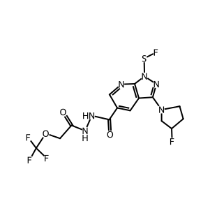 O=C(COC(F)(F)F)NNC(=O)c1cnc2c(c1)c(N1CCC(F)C1)nn2SF